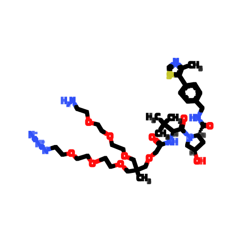 Cc1ncsc1-c1ccc(CNC(=O)[C@@H]2C[C@@H](O)CN2C(=O)[C@@H](NC(=O)COCC(C)(COCCOCCOCCN)COCCOCCOCCN=[N+]=[N-])C(C)(C)C)cc1